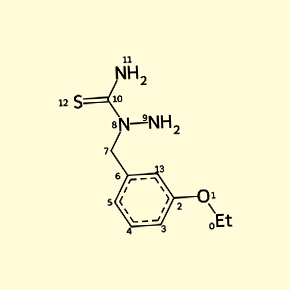 CCOc1cccc(CN(N)C(N)=S)c1